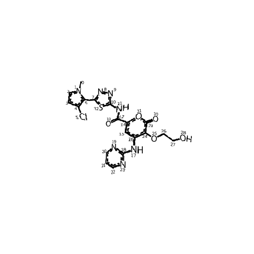 Cn1ccc(Cl)c1-c1nnc(NC(=O)c2cc(Nc3ncccn3)c(OCCO)c(=O)o2)s1